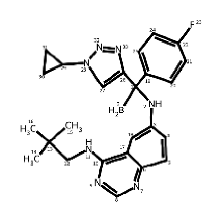 BC(Nc1ccc2ncnc(NCC(C)(C)C)c2c1)(c1ccc(F)cc1)c1cn(C2CC2)nn1